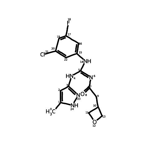 Cc1cc(N/C(=N\C(=O)CC2COC2)Nc2cc(F)cc(Cl)c2)n[nH]1